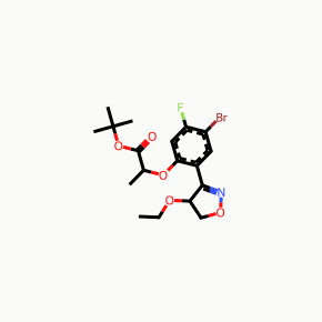 CCOC1CON=C1c1cc(Br)c(F)cc1OC(C)C(=O)OC(C)(C)C